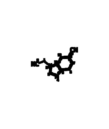 N#CCn1cnc2ccc(C#N)cc21